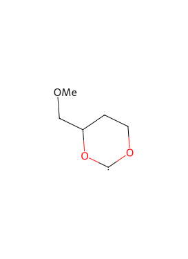 COCC1CCO[CH]O1